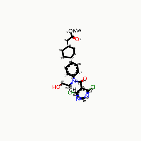 COC(=O)C[C@H]1CC[C@H](c2ccc(N(C(=O)c3c(Cl)ncnc3Cl)[C@H](C)CO)cc2)CC1